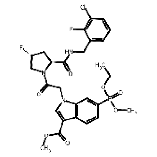 CCOP(=O)(OC)c1ccc2c(C(=O)OC)cn(CC(=O)N3C[C@H](F)C[C@H]3C(=O)NCc3cccc(Cl)c3F)c2c1